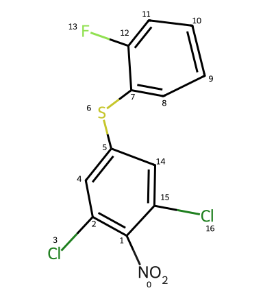 O=[N+]([O-])c1c(Cl)cc(Sc2ccccc2F)cc1Cl